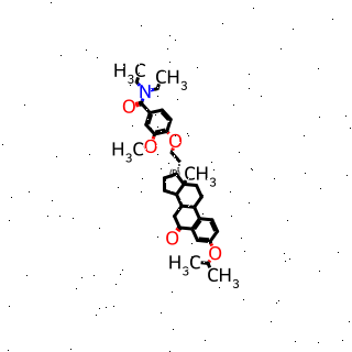 CCN(CC)C(=O)c1ccc(OCC[C@H]2CCC3C4CC(=O)c5cc(OC(C)C)ccc5C4CCC32C)c(OC)c1